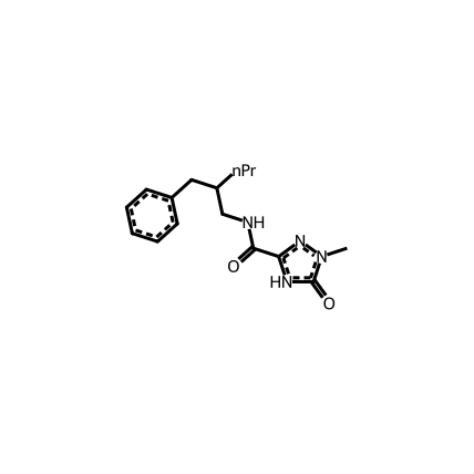 CCCC(CNC(=O)c1nn(C)c(=O)[nH]1)Cc1ccccc1